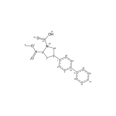 COC(=O)C1CC(c2ccc(-c3ccccc3)cc2)CN1C(=O)O